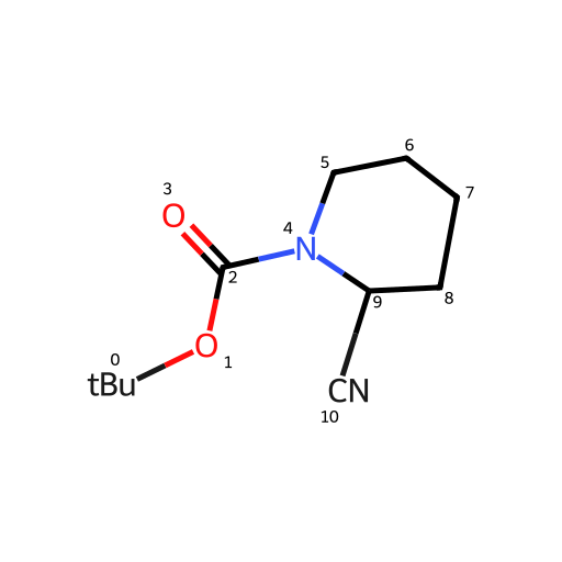 CC(C)(C)OC(=O)N1CCCCC1C#N